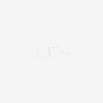 CCc1ccc2nc(NC(C)=O)oc2c1